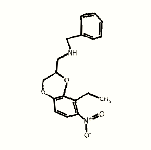 CCc1c([N+](=O)[O-])ccc2c1OC(CNCc1ccccc1)CO2